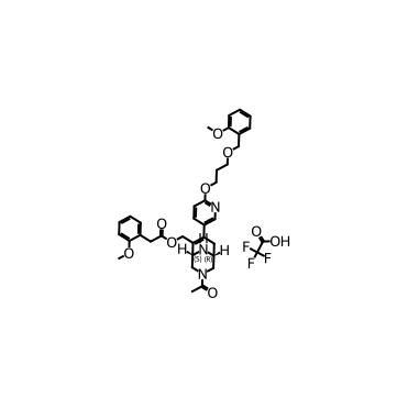 COc1ccccc1COCCCOc1ccc(C2=C(COC(=O)Cc3ccccc3OC)[C@H]3CN(C(C)=O)C[C@@H](C2)N3)cn1.O=C(O)C(F)(F)F